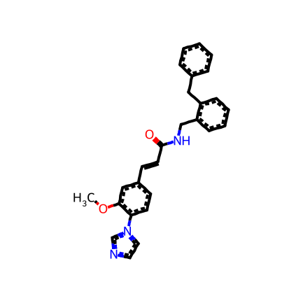 COc1cc(/C=C/C(=O)NCc2ccccc2Cc2ccccc2)ccc1-n1ccnc1